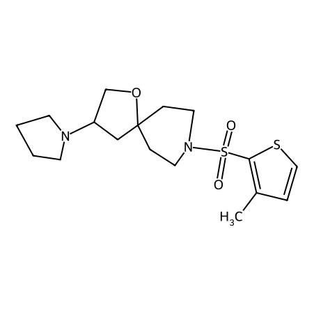 Cc1ccsc1S(=O)(=O)N1CCC2(CC1)CC(N1CCCC1)CO2